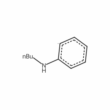 CCCCNc1[c]cccc1